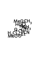 CC[C@H]1C2=C(C=C3[C@@H]4c5c(cc(C)c(OC)c5O)C[C@H]([C@H](C#N)N31)N4C)C(=O)C(C)=C(OC)C2=O